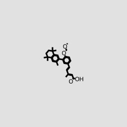 COCOc1ccc(C=CC(C)=CC(=O)O)cc1-c1cc2c(cc1C)C(C)(C)CCC2(C)C